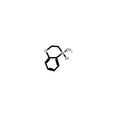 CC[N+]1(C)CCOc2ccccc21